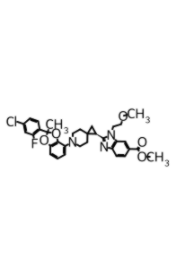 COCCn1c([C@@H]2CC23CCN(c2cccc4c2OC(C)(c2ccc(Cl)cc2F)O4)CC3)nc2ccc(C(=O)OC)cc21